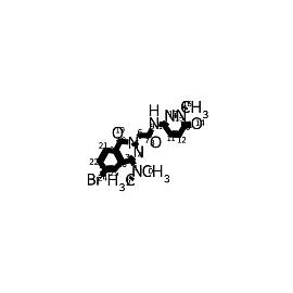 CN(C)c1nn(CC(=O)Nc2ccc(=O)n(C)n2)c(=O)c2ccc(Br)cc12